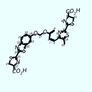 C=C(/C=C\c1nc(C2=NC(C(=O)O)CS2)sc1C)OCOc1ccc2nc(C3=NC(C(=O)O)CS3)sc2c1